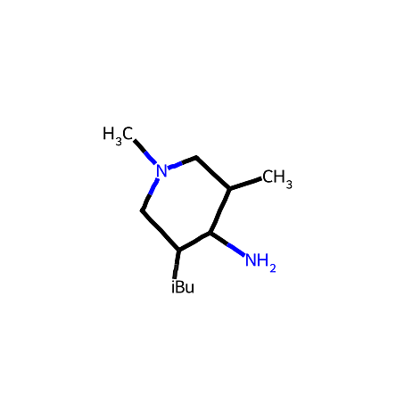 CCC(C)C1CN(C)CC(C)C1N